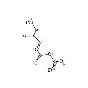 CCCCOC(=O)N=NC(=O)O[SiH](CC)CC